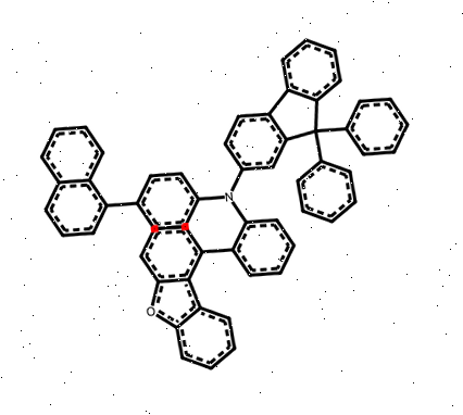 c1ccc(C2(c3ccccc3)c3ccccc3-c3ccc(N(c4ccc(-c5cccc6ccccc56)cc4)c4ccccc4-c4cccc5oc6ccccc6c45)cc32)cc1